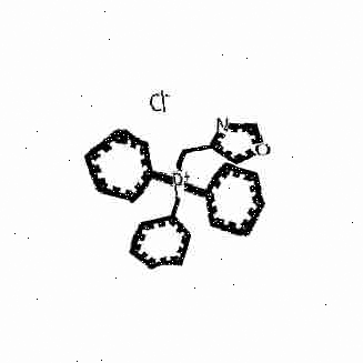 [Cl-].c1ccc([P+](Cc2cocn2)(c2ccccc2)c2ccccc2)cc1